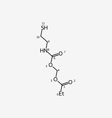 CCC(=O)OCOC(=O)NCCS